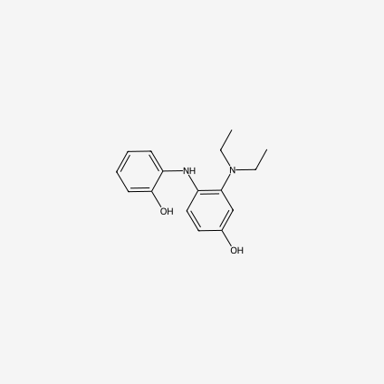 CCN(CC)c1cc(O)ccc1Nc1ccccc1O